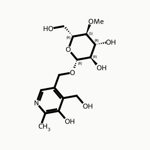 CO[C@H]1[C@H](O)[C@@H](O)[C@H](OCc2cnc(C)c(O)c2CO)O[C@@H]1CO